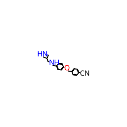 N#Cc1ccc(COc2ccc(CNCC3CNC3)cc2)cc1